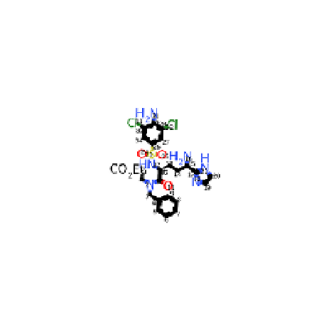 CCOC(=O)CN(Cc1ccccc1)C(=O)[C@H](CCC(N)c1ncc[nH]1)NS(=O)(=O)c1cc(Cl)c(N)c(Cl)c1